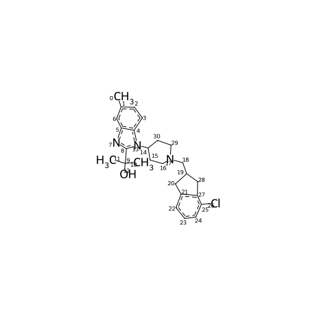 Cc1ccc2c(c1)nc(C(C)(C)O)n2C1CCN(CC2Cc3cccc(Cl)c3C2)CC1